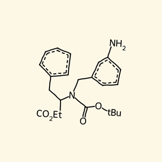 CCOC(=O)C(Cc1ccccc1)N(Cc1cccc(N)c1)C(=O)OC(C)(C)C